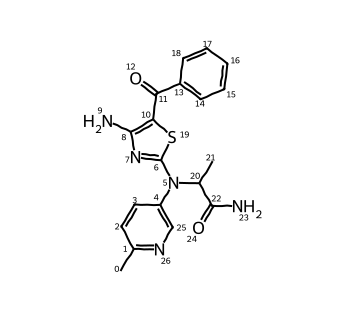 Cc1ccc(N(c2nc(N)c(C(=O)c3ccccc3)s2)C(C)C(N)=O)cn1